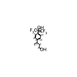 CC(CCO)c1ccc(C(O)(C(F)(F)F)C(F)(F)F)cc1